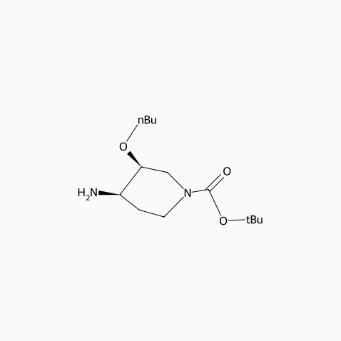 CCCCO[C@H]1CN(C(=O)OC(C)(C)C)CC[C@H]1N